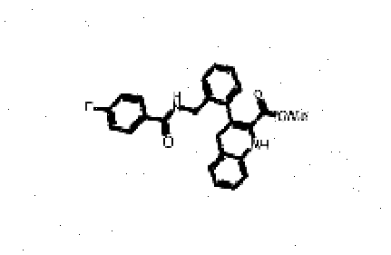 COC(=O)C1=C(c2ccccc2CNC(=O)c2ccc(F)cc2)Cc2ccccc2N1